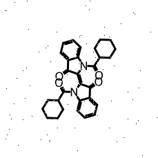 O=C1C(=C2C(=O)c3ccccc3N2C(=O)C2CCCCC2)N(C(=O)C2CCCCC2)c2ccccc21